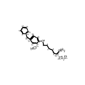 CCOC(=O)[C@@H](N)CCCCCOc1ccc(Cc2ccccc2)cc1.Cl